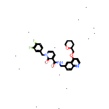 O=C(NCc1ccc2nccc(OCC3CCCCO3)c2c1)c1cccn(Cc2ccc(F)c(F)c2)c1=O